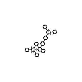 c1ccc(-c2cc(-c3ccc(-c4ccc(-c5c(-c6ccccc6-c6nc(-c7ccccc7)nc(-c7ccccc7)n6)ccc6ccccc56)cc4)cc3)nc(-c3ccccc3)n2)cc1